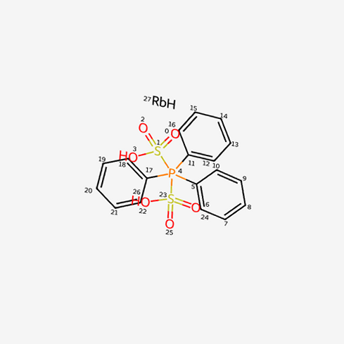 O=S(=O)(O)P(c1ccccc1)(c1ccccc1)(c1ccccc1)S(=O)(=O)O.[RbH]